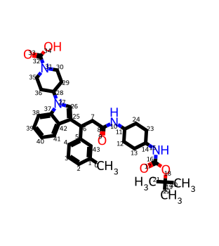 Cc1cccc(C(CC(=O)NC2CCC(NC(=O)OC(C)(C)C)CC2)c2cn(C3CCN(C(=O)O)CC3)c3ccccc23)c1